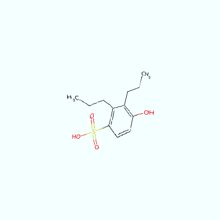 CCCc1c(O)ccc(S(=O)(=O)O)c1CCC